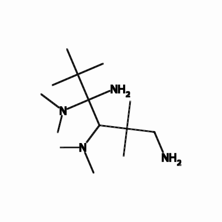 CN(C)C(C(C)(C)CN)C(N)(N(C)C)C(C)(C)C